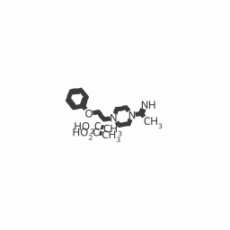 CC(=N)N1CCN(CCOc2ccccc2)CC1.CC(=O)O.CC(=O)O